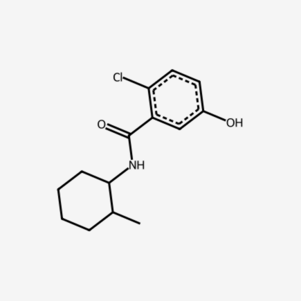 CC1CCCCC1NC(=O)c1cc(O)ccc1Cl